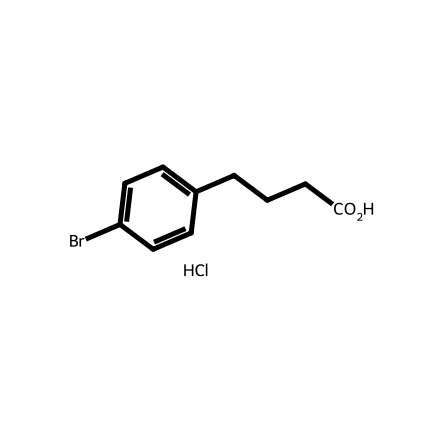 Cl.O=C(O)CCCc1ccc(Br)cc1